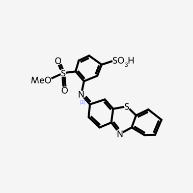 COS(=O)(=O)c1ccc(S(=O)(=O)O)cc1/N=c1/ccc2nc3ccccc3sc-2c1